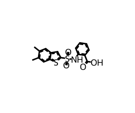 Cc1cc2cc(S(=O)(=O)Nc3ccccc3C(=O)O)sc2cc1C